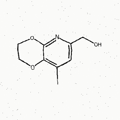 OCc1cc(I)c2c(n1)OCCO2